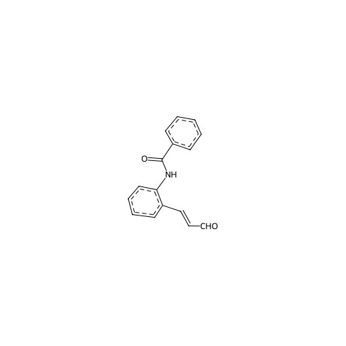 O=CC=Cc1ccccc1NC(=O)c1ccccc1